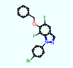 Fc1cc2cnn(-c3ccc(Br)cc3)c2c(F)c1OCc1ccccc1